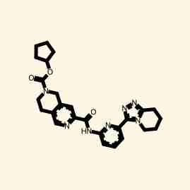 O=C(Nc1cccc(-c2nnc3n2CCCC3)n1)c1cc2c(cn1)CCN(C(=O)OC1CCCC1)C2